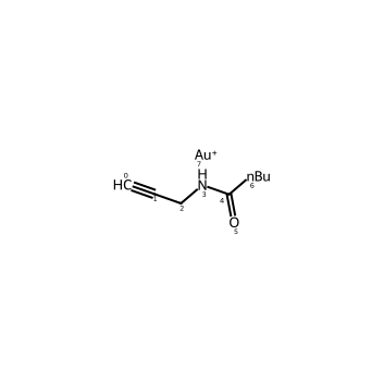 C#CCNC(=O)CCCC.[Au+]